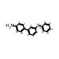 Nc1ccc(-c2cccc(Sc3ccccc3)c2)cc1